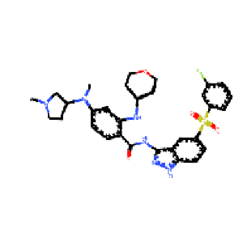 CN1CCC(N(C)c2ccc(C(=O)Nc3n[nH]c4ccc(S(=O)(=O)c5cccc(F)c5)cc34)c(NC3CCOCC3)c2)C1